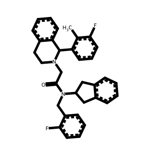 Cc1c(F)cccc1C1c2ccccc2CCN1CC(=O)N(Cc1ccccc1F)C1Cc2ccccc2C1